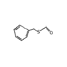 O=[C]SCc1ccccc1